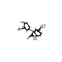 O=c1[nH]c2ccc(Cl)cc2n1-c1ccc(Cl)c(Br)c1